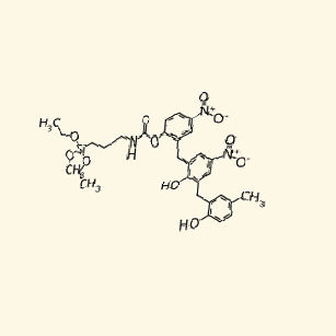 CCO[Si](CCCNC(=O)Oc1ccc([N+](=O)[O-])cc1Cc1cc([N+](=O)[O-])cc(Cc2cc(C)ccc2O)c1O)(OC)OCC